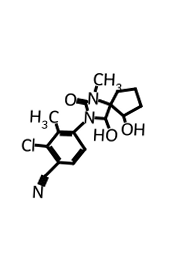 Cc1c(N2C(=O)N(C)C3(CCCC3O)C2O)ccc(C#N)c1Cl